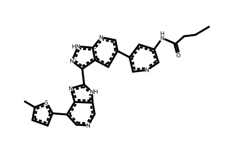 CCCC(=O)Nc1cncc(-c2cnc3[nH]nc(-c4nc5c(-c6ccc(C)s6)cncc5[nH]4)c3c2)c1